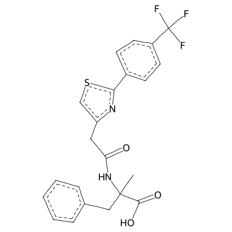 CC(Cc1ccccc1)(NC(=O)Cc1csc(-c2ccc(C(F)(F)F)cc2)n1)C(=O)O